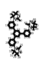 CC1=NC(C)(C)C(C)(C)N1c1cccc(-c2cc(-c3cccc(N4C(C)=NC(C)(C)C4(C)C)c3)cc(-c3cccc(N4C(C)=NC(C)(C)C4(C)C)c3)c2)c1